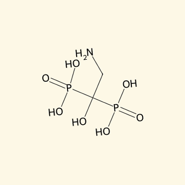 NCC(O)(P(=O)(O)O)P(=O)(O)O